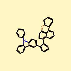 c1ccc(-n2c3ccccc3c3cc(-c4ccccc4-c4ccc5c6c(cccc46)-c4ccccc4S5)ccc32)cc1